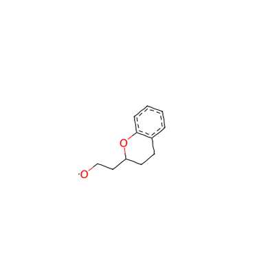 [O]CCC1CCc2ccccc2O1